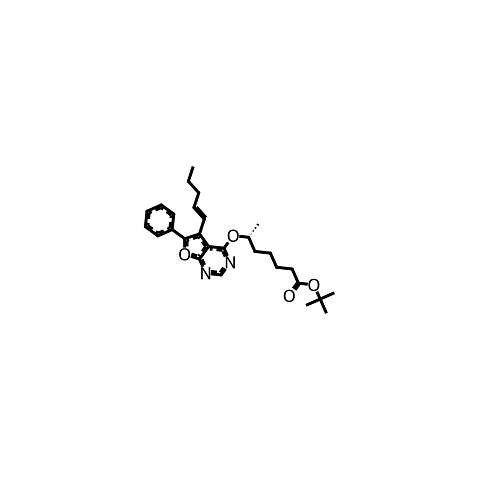 CCC/C=C/c1c(-c2ccccc2)oc2ncnc(O[C@H](C)CCCCC(=O)OC(C)(C)C)c12